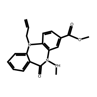 C=CCN1c2ccccc2C(=O)N(PC)c2cc(C(=O)OC)ccc21